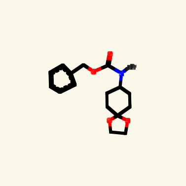 CCCN(C(=O)OCc1ccccc1)C1CCC2(CC1)OCCO2